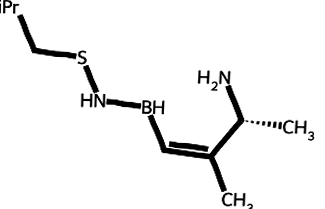 C/C(=C/BNSCC(C)C)[C@@H](C)N